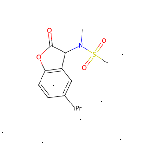 CC(C)c1ccc2c(c1)C(N(C)S(C)(=O)=O)C(=O)O2